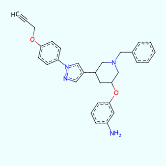 C#CCOc1ccc(-n2cc(C3CC(Oc4cccc(N)c4)CN(Cc4ccccc4)C3)cn2)cc1